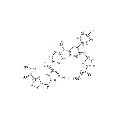 CC(C)(C)OC(=O)N1CC[C@H](Oc2cc(F)cc(C(=O)N3CCN(C(=O)c4ccc(O[C@H]5CCN(C(=O)OC(C)(C)C)C5)c(-c5ccc(F)cc5)c4)CC3)c2)C1